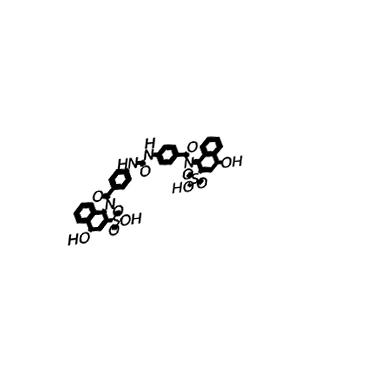 O=C(Nc1ccc(C(=O)N=C2C(S(=O)(=O)O)=CC(O)c3ccccc32)cc1)Nc1ccc(C(=O)N=C2C(S(=O)(=O)O)=CC(O)c3ccccc32)cc1